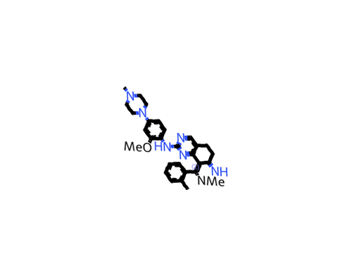 CN/C(=C1\C(=N)CCc2cnc(Nc3ccc(N4CCN(C)CC4)cc3OC)nc21)c1ccccc1C